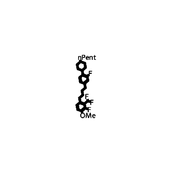 CCCCCC1CCC(c2ccc(CCCCc3ccc(OC)c(F)c3C(F)F)cc2F)CC1